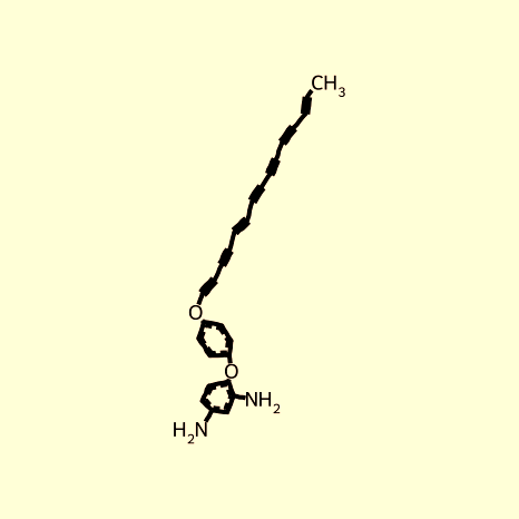 CC#CC#CC#CC#CC#CC#CC#COc1ccc(Oc2ccc(N)cc2N)cc1